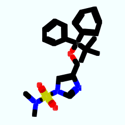 CN(C)S(=O)(=O)n1cnc(CO[Si](c2ccccc2)(c2ccccc2)C(C)(C)C)c1